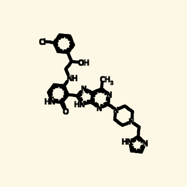 Cc1nc(N2CCN(Cc3ncc[nH]3)CC2)nc2[nH]c(-c3c(NCC(O)c4cccc(Cl)c4)cc[nH]c3=O)nc12